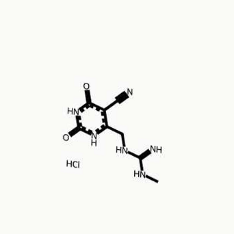 CNC(=N)NCc1[nH]c(=O)[nH]c(=O)c1C#N.Cl